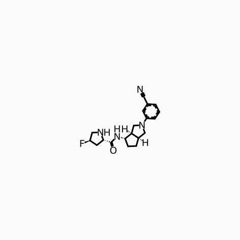 N#Cc1cccc(N2C[C@H]3CC[C@H](NC(=O)[C@@H]4C[C@@H](F)CN4)[C@H]3C2)c1